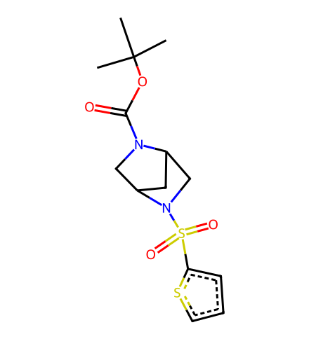 CC(C)(C)OC(=O)N1CC2CC1CN2S(=O)(=O)c1cccs1